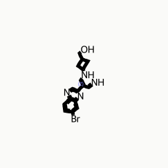 N=C/C(=C\NC1CC(CO)C1)c1cnc2ccc(Br)cc2n1